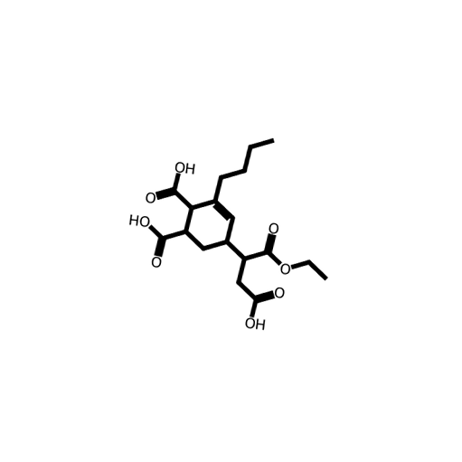 CCCCC1=CC(C(CC(=O)O)C(=O)OCC)CC(C(=O)O)C1C(=O)O